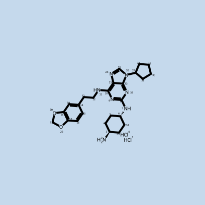 Cl.Cl.N[C@H]1CC[C@H](Nc2nc(NCCc3ccc4c(c3)OCO4)c3ncn(C4CCCC4)c3n2)CC1